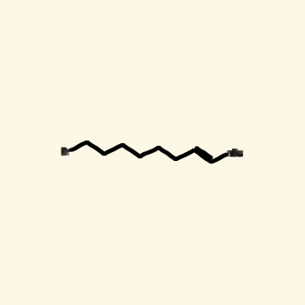 CCCCC=CCCCCCCBr